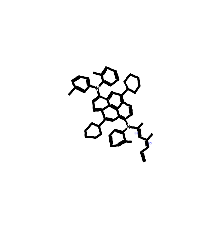 C=C/C=C(C)\C=C(/C)N(c1ccccc1C)c1ccc2c(C3CCCCC3)cc3c(N(c4cccc(C)c4)c4ccccc4C)ccc4c(C5CCCCC5)cc1c2c43